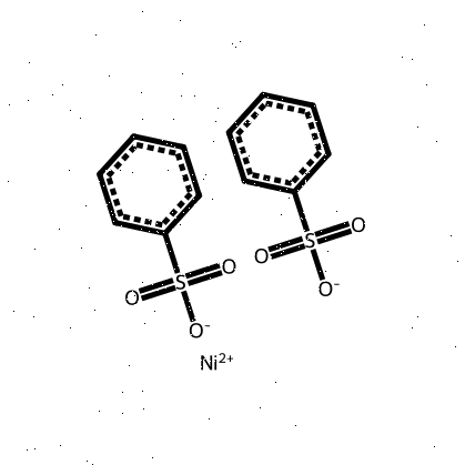 O=S(=O)([O-])c1ccccc1.O=S(=O)([O-])c1ccccc1.[Ni+2]